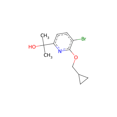 CC(C)(O)c1ccc(Br)c(OCC2CC2)n1